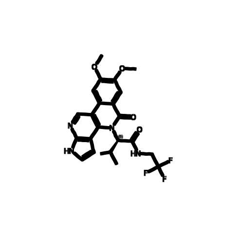 COc1cc2c(=O)n([C@@H](C(=O)NCC(F)(F)F)C(C)C)c3c4cc[nH]c4ncc3c2cc1OC